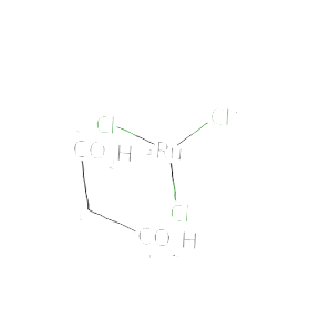 O=C(O)CC(=O)O.[Cl][Ru]([Cl])[Cl]